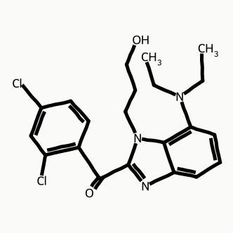 CCN(CC)c1cccc2nc(C(=O)c3ccc(Cl)cc3Cl)n(CCCO)c12